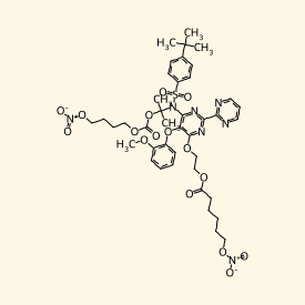 COc1ccccc1Oc1c(OCCOC(=O)CCCCCO[N+](=O)[O-])nc(-c2ncccn2)nc1N(C(C)(C)OC(=O)OCCCCO[N+](=O)[O-])S(=O)(=O)c1ccc(C(C)(C)C)cc1